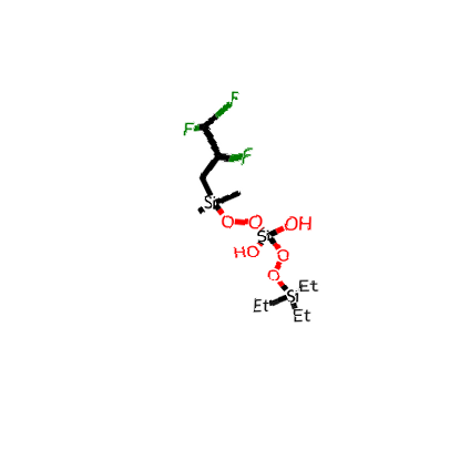 CC[Si](CC)(CC)OO[Si](O)(O)OO[Si](C)(C)CC(F)C(F)F